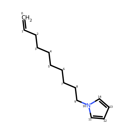 C=CCCCCCCCCn1cccc1